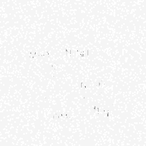 COc1cccc(-c2c3c(=O)n(-c4ccccc4OC)[nH]c3cc(=O)n2Cc2ccn(C)n2)c1